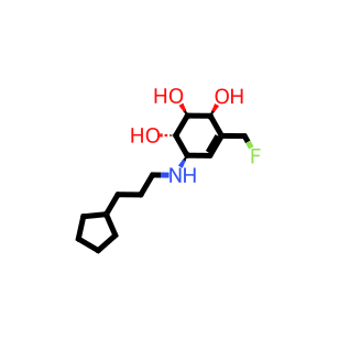 O[C@@H]1[C@@H](O)[C@@H](O)C(CF)=C[C@H]1NCCCC1CCCC1